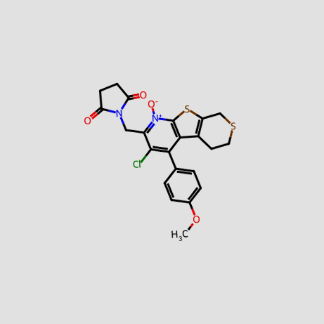 COc1ccc(-c2c(Cl)c(CN3C(=O)CCC3=O)[n+]([O-])c3sc4c(c23)CCSC4)cc1